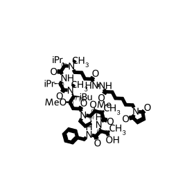 CC[C@H](C)[C@@H]([C@@H](CC(=O)N1CCC[C@H]1[C@H](OC)[C@@H](C)C(=O)N[C@H](C(=O)NCc1ccccc1)[C@@H](C)O)OC)N(C)C(=O)[C@@H](NC(=O)[C@H](C(C)C)N(C)CCCC(=O)NNC(=O)CCCCCN1C(=O)C=CC1=O)C(C)C